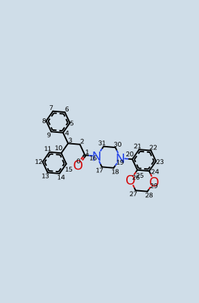 O=C(CC(c1ccccc1)c1ccccc1)N1CCN(c2cccc3c2OCCO3)CC1